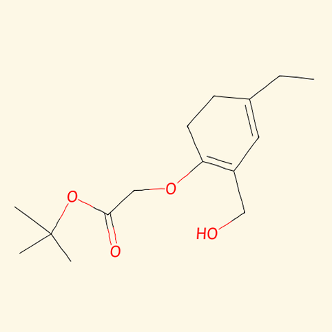 CCC1=CC(CO)=C(OCC(=O)OC(C)(C)C)CC1